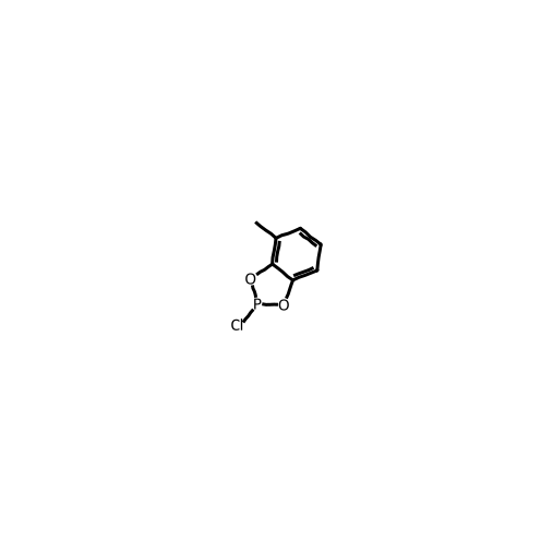 Cc1cccc2c1OP(Cl)O2